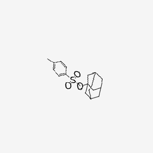 Cc1ccc(S(=O)(=O)OC23CC4CC(CC(C4)C2)C3)cc1